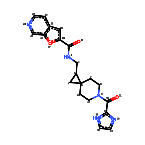 O=C(NCC1CC12CCN(C(=O)c1ncc[nH]1)CC2)c1cc2ccncc2o1